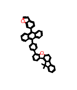 CC1(C)c2ccccc2-c2ccc3oc4c(-c5ccc(-c6c7ccccc7c(-c7ccc8ccoc8c7)c7ccccc67)cc5)cccc4c3c21